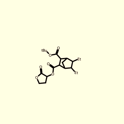 CCC1C(CC)C2CC1C(C(=O)OC1CCOC1=O)C2C(=O)OC(C)(C)C